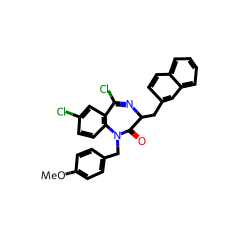 COc1ccc(CN2C(=O)C(Cc3ccc4ccccc4c3)N=C(Cl)c3cc(Cl)ccc32)cc1